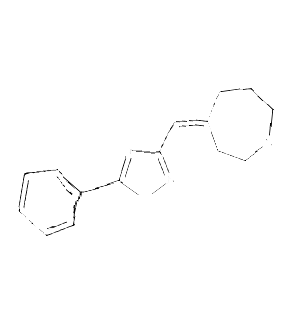 C(=C1\CCCNCC1)/c1noc(-c2ccccc2)n1